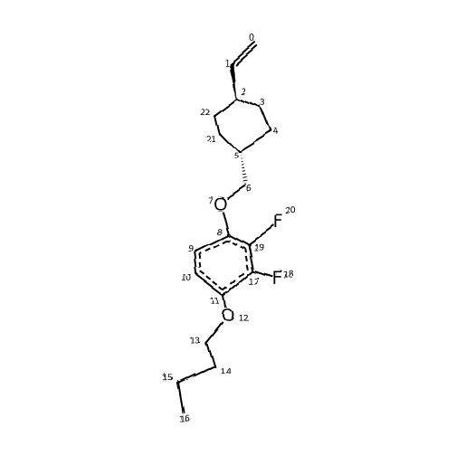 C=C[C@H]1CC[C@H](COc2ccc(OCCCC)c(F)c2F)CC1